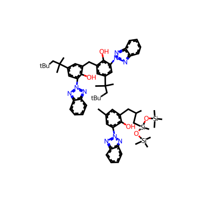 CC(C)(C)CC(C)(C)c1cc(Cc2cc(C(C)(C)CC(C)(C)C)cc(-n3nc4ccccc4n3)c2O)c(O)c(-n2nc3ccccc3n2)c1.Cc1cc(CC(C)C[Si](C)(O[Si](C)(C)C)O[Si](C)(C)C)c(O)c(-n2nc3ccccc3n2)c1